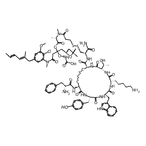 C/C=C/C=C(\C)Cc1cc(OC)c(Cl)c(N(C)C(=O)CC(C[C@@]2(C)CC(C)(C)O2)(ONC(=O)O)OC(=O)[C@H](C)N(C)C(=O)CCSSC[C@H](NC(=O)[C@@H]2CSSC[C@H](NC(=O)[C@H](N)Cc3ccccc3)C(=O)N[C@@H](Cc3ccc(O)cc3)C(=O)N[C@H](Cc3c[nH]c4ccccc34)C(=O)N[C@@H](CCCCCN)C(=O)N[C@@H]([C@@H](C)O)C(=O)N2)C(N)=O)c1